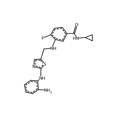 Nc1ccccc1Nc1ncc(CNc2cc(C(=O)NC3CC3)ccc2F)s1